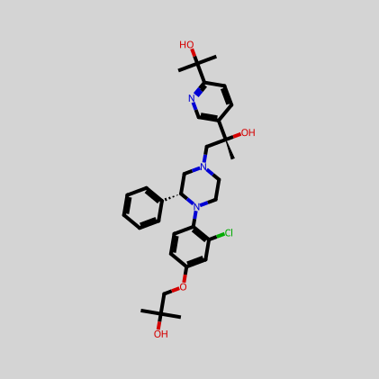 CC(C)(O)COc1ccc(N2CCN(C[C@@](C)(O)c3ccc(C(C)(C)O)nc3)C[C@H]2c2ccccc2)c(Cl)c1